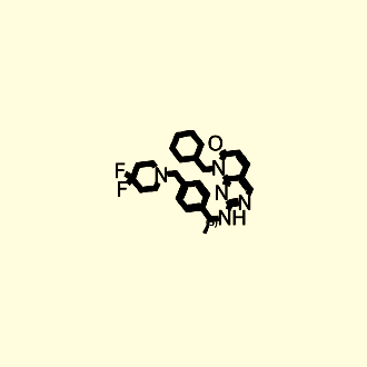 C[C@H](Nc1ncc2ccc(=O)n(CC3CCCCC3)c2n1)c1ccc(CN2CCC(F)(F)CC2)cc1